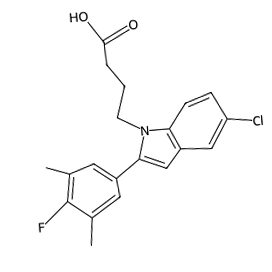 Cc1cc(-c2cc3cc(Cl)ccc3n2CCCC(=O)O)cc(C)c1F